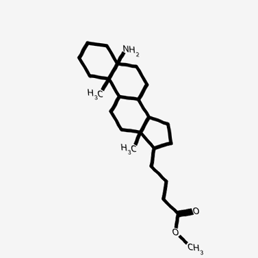 COC(=O)CCCC1CCC2C3CCC4(N)CCCCC4(C)C3CCC12C